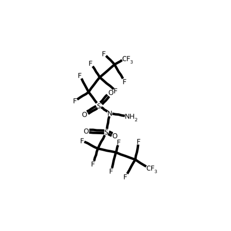 NN(S(=O)(=O)C(F)(F)C(F)(F)C(F)(F)C(F)(F)F)S(=O)(=O)C(F)(F)C(F)(F)C(F)(F)C(F)(F)F